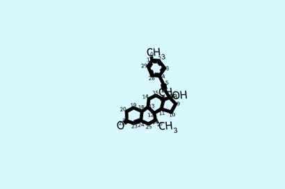 Cc1ccc(C#C[C@]2(O)CCC3C4C(CC[C@@]32C)C2CCC(=O)C=C2C[C@H]4C)cc1